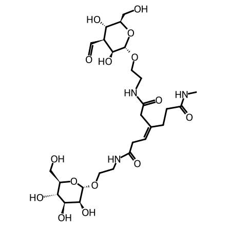 CNC(=O)CC/C(=C/CC(=O)NCCO[C@H]1O[C@H](CO)[C@@H](O)[C@H](O)[C@@H]1O)CC(=O)NCCO[C@H]1O[C@H](CO)[C@@H](O)[C@H](C=O)[C@@H]1O